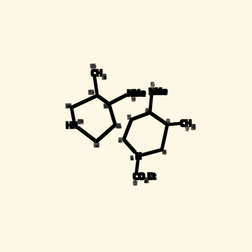 CCOC(=O)N1CCC(NC)C(C)C1.CNC1CCNCC1C